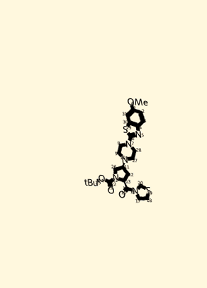 COc1ccc2nc(N3CCN([C@H]4C[C@@H](C(=O)N5CCSC5)N(C(=O)OC(C)(C)C)C4)CC3)sc2c1